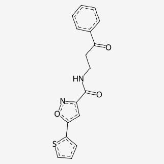 O=C(CCNC(=O)c1cc(-c2cccs2)on1)c1ccccc1